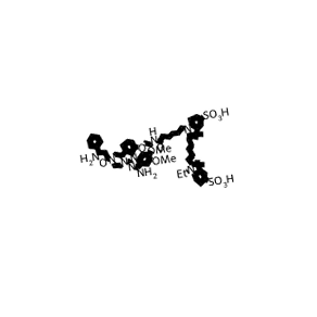 CCN1c2ccc(S(=O)(=O)O)cc2C(C)(C)C1/C=C/C=C/C=C1/N(CCCCCC(=O)NCCOc2cccc(C3CN(C(=O)C[C@@H](N)c4ccccc4)CCN3c3nc(N)c4cc(OC)c(OC)cc4n3)c2)c2ccc(S(=O)(=O)O)cc2C1(C)C